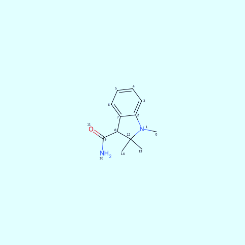 CN1c2ccccc2C(C(N)=O)C1(C)C